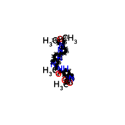 CC(NC(=O)c1ccc2cnn(S(C)(=O)=O)c2c1)c1cc2nc(-c3cccc(N4C[C@@H](C)O[C@@H](C)C4)n3)ccc2cn1